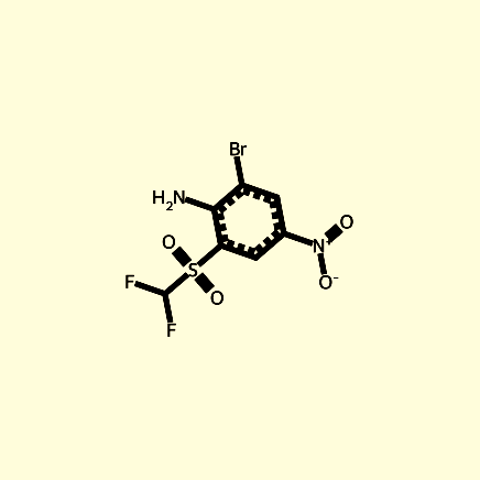 Nc1c(Br)cc([N+](=O)[O-])cc1S(=O)(=O)C(F)F